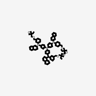 CCC1(COCc2ccc(N(c3ccc(N(c4ccc(C(c5cccc(COCC6(CC)COC6)c5)c5cccc6ccccc56)cc4)c4ccc(N(c5cccc(COCC6(CC)COC6)c5)c5ccc6ccccc6c5)cc4)cc3)c3ccc4ccccc4c3)cc2)COC1